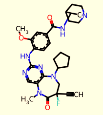 C#CC1(F)CN(C2CCCC2)c2nc(Nc3ccc(C(=O)NC4CN5CCC4CC5)cc3OC)ncc2N(C)C1=O